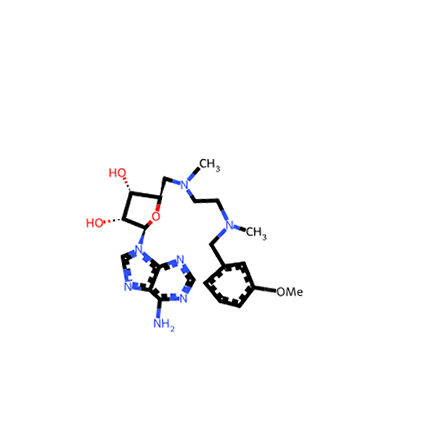 COc1cccc(CN(C)CCN(C)C[C@H]2O[C@@H](n3cnc4c(N)ncnc43)[C@H](O)[C@@H]2O)c1